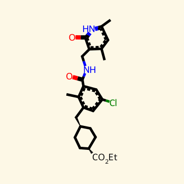 CCOC(=O)[C@H]1CC[C@@H](Cc2cc(Cl)cc(C(=O)NCc3c(C)cc(C)[nH]c3=O)c2C)CC1